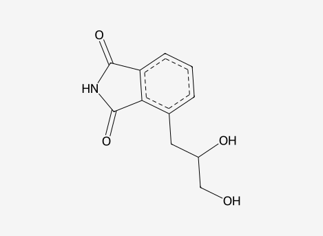 O=C1NC(=O)c2c(CC(O)CO)cccc21